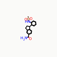 CS(=O)(=O)Nc1ccccc1C1CCc2cc(C(N)=O)ccc21